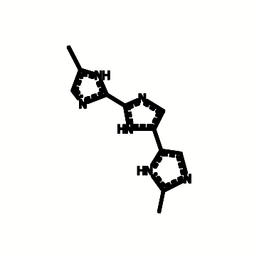 Cc1cnc(-c2ncc(-c3cnc(C)[nH]3)[nH]2)[nH]1